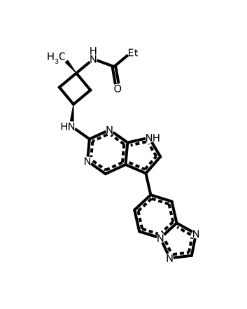 CCC(=O)N[C@]1(C)C[C@@H](Nc2ncc3c(-c4ccn5ncnc5c4)c[nH]c3n2)C1